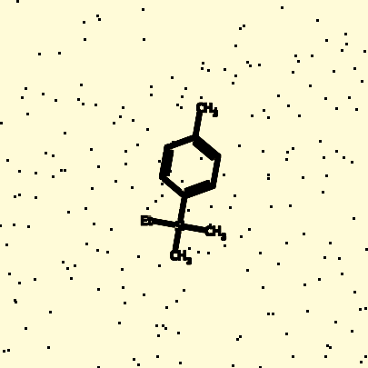 [CH2]C[Si](C)(C)c1ccc(C)cc1